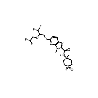 Cn1c(C(=O)NC2(C)CCS(=O)(=O)CC2)nc2ccc(OCC(OCC(F)F)C(F)F)nc21